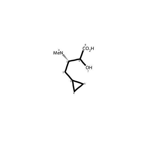 CN[C@@H](CC1CC1)C(O)C(=O)O